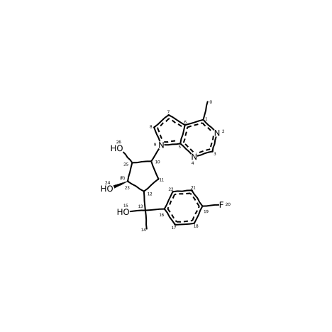 Cc1ncnc2c1ccn2C1CC(C(C)(O)c2ccc(F)cc2)[C@@H](O)C1O